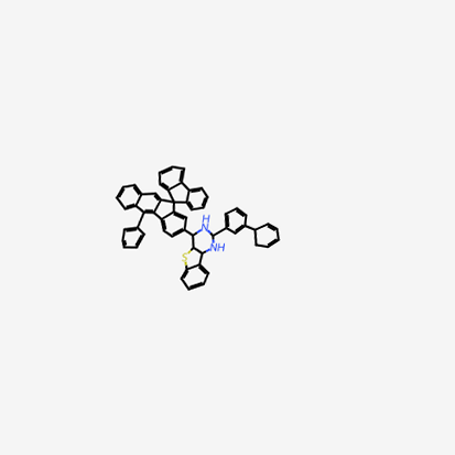 C1=CCC(c2cccc(C3NC(c4ccc5c(c4)C4(c6ccccc6-c6ccccc64)c4cc6ccccc6c(-c6ccccc6)c4-5)C4Sc5ccccc5C4N3)c2)C=C1